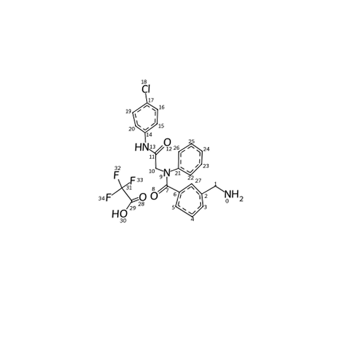 NCc1cccc(C(=O)N(CC(=O)Nc2ccc(Cl)cc2)c2ccccc2)c1.O=C(O)C(F)(F)F